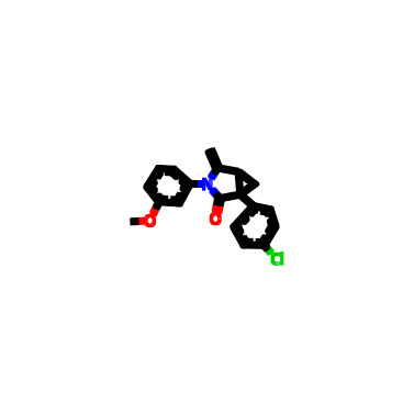 C=C1C2CC2(c2ccc(Cl)cc2)C(=O)N1c1cccc(OC)c1